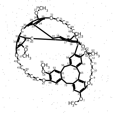 COc1cc2c3cc1OCCCCCOc1cc4c(cc1C)Cc1cc5c(OC)cc1Cc1cc(c(OC)cc1C4)OCCCCCOc1cc(c(cc1OC)Cc1cc(c(OC)cc1C3)OCCCCCO5)C2